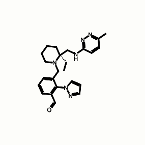 CC[C@@]1(CNc2ccc(C)nn2)CCCCN1Cc1cccc(C=O)c1-n1cccn1